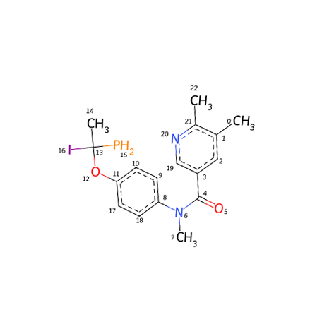 Cc1cc(C(=O)N(C)c2ccc(OC(C)(P)I)cc2)cnc1C